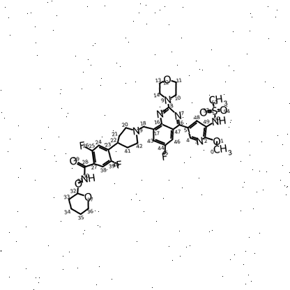 COc1ncc(-c2nc(N3CCOCC3)nc3c(CN4CCC(c5cc(F)c(C(=O)NOC6CCCCO6)cc5F)CC4)cc(F)cc23)cc1NS(C)(=O)=O